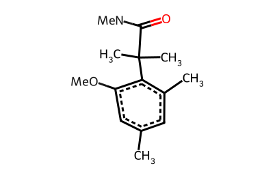 CNC(=O)C(C)(C)c1c(C)cc(C)cc1OC